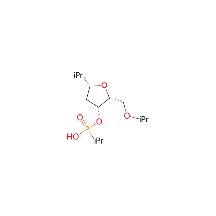 CC(C)OC[C@H]1O[C@@H](C(C)C)C[C@H]1OP(=O)(O)C(C)C